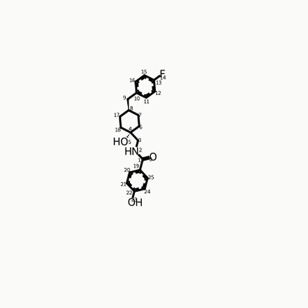 O=C(NC[C@]1(O)CC[C@H](Cc2ccc(F)cc2)CC1)c1ccc(O)cc1